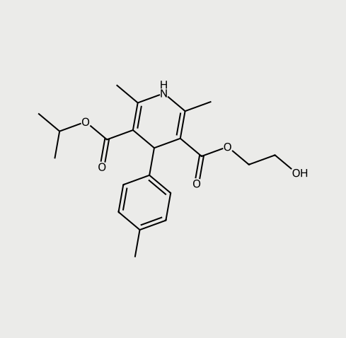 CC1=C(C(=O)OCCO)C(c2ccc(C)cc2)C(C(=O)OC(C)C)=C(C)N1